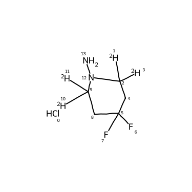 Cl.[2H]C1([2H])CC(F)(F)CC([2H])([2H])N1N